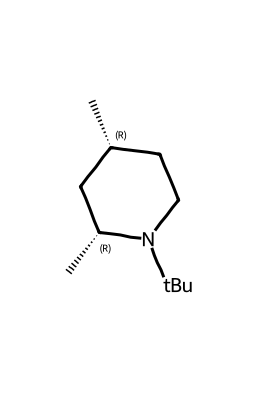 C[C@@H]1CCN(C(C)(C)C)[C@H](C)C1